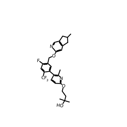 Cc1nc(OCCC(C)(C)O)ccc1-c1cc(COc2cc3c(cn2)CC(C)C3)c(F)cc1C(F)(F)F